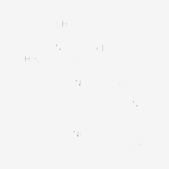 CCCc1nsc(N=C(Cl)N(C)C)c1C#N